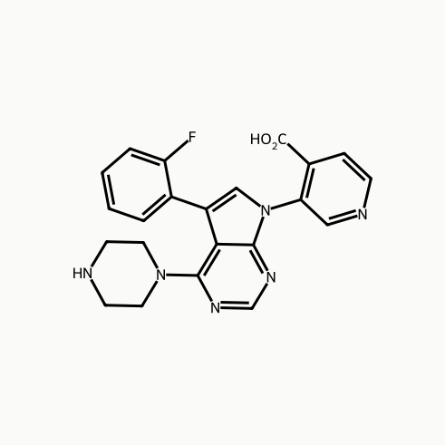 O=C(O)c1ccncc1-n1cc(-c2ccccc2F)c2c(N3CCNCC3)ncnc21